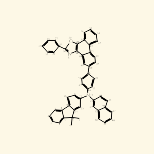 CC1(C)c2ccccc2-c2ccc(N(c3ccc(-c4ccc5c6ccccc6c6oc(-c7ccccc7)nc6c5c4)cc3)c3ccc4ccccc4c3)cc21